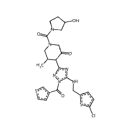 CC1CN(C(=O)N2CCC(O)C2)CC(=O)C1c1nc(NCc2ccc(Cl)s2)n(C(=O)c2ccsc2)n1